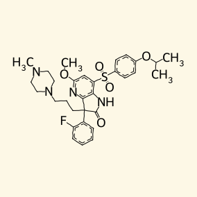 COc1cc(S(=O)(=O)c2ccc(OC(C)C)cc2)c2c(n1)C(CCCN1CCN(C)CC1)(c1ccccc1F)C(=O)N2